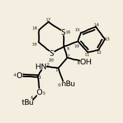 CCCCC(NC(=O)OC(C)(C)C)C(O)C1(c2ccccc2)SCCCS1